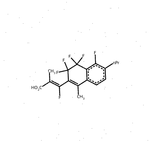 CCCc1ccc2c(c1F)C(F)(F)C(F)(F)C(/C(F)=C(\C)C(=O)O)=C2C